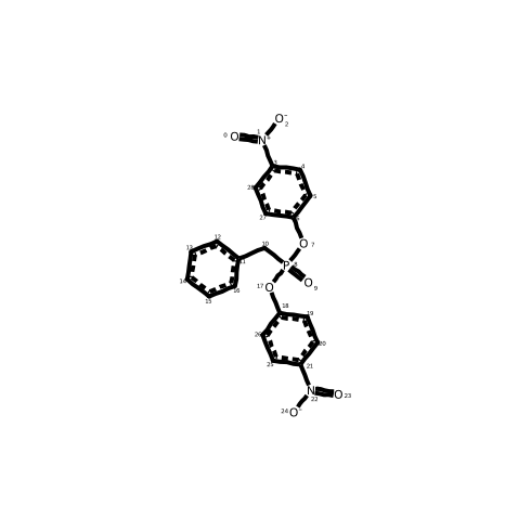 O=[N+]([O-])c1ccc(OP(=O)(Cc2ccccc2)Oc2ccc([N+](=O)[O-])cc2)cc1